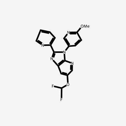 COc1ccc(-n2c(-c3ccccn3)nc3cc(OC(F)F)cnc32)cn1